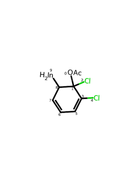 CC(=O)OC1(Cl)C(Cl)=CC=C[CH]1[InH2]